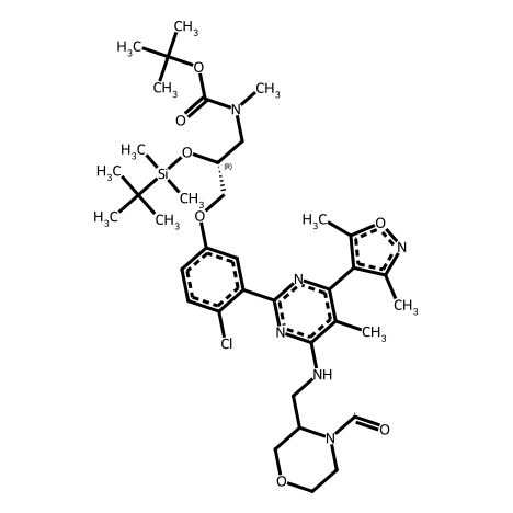 Cc1noc(C)c1-c1nc(-c2cc(OC[C@@H](CN(C)C(=O)OC(C)(C)C)O[Si](C)(C)C(C)(C)C)ccc2Cl)nc(NCC2COCCN2[C]=O)c1C